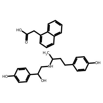 CC(CCc1ccc(O)cc1)NCC(O)c1ccc(O)cc1.O=C(O)Cc1cccc2ccccc12